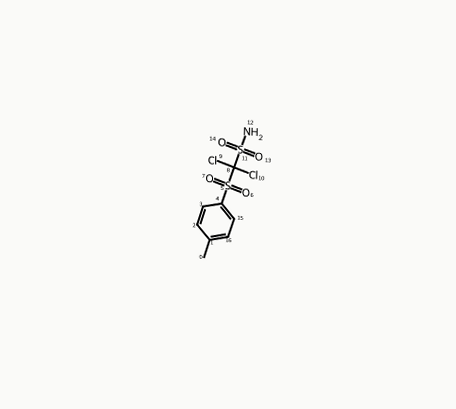 Cc1ccc(S(=O)(=O)C(Cl)(Cl)S(N)(=O)=O)cc1